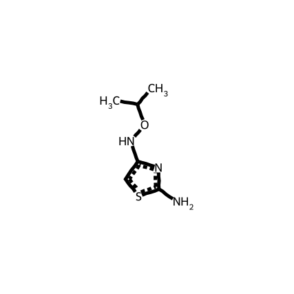 CC(C)ONc1csc(N)n1